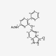 CC(=O)Nc1ccc(-c2ccccc2)c(Oc2ccc3nnc(Cl)n3n2)c1